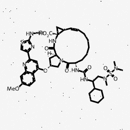 COc1ccc2c(O[C@@H]3C[C@H]4C(=O)N[C@]5(C(=O)O)CC5/C=C\CCCCC[C@H](NC(=O)NC(CN(C)S(=O)(=O)N(C)C)C5CCCCC5)C(=O)N4C3)cc(-c3csc(NC(C)C)n3)nc2c1